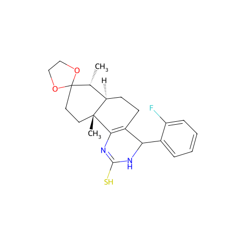 C[C@@H]1[C@H]2CCC3=C(N=C(S)NC3c3ccccc3F)[C@]2(C)CCC12OCCO2